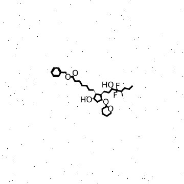 CCC[C@@H](C)C(F)(F)C(O)CC[C@@H]1[C@@H](CCCCCCC(=O)OCc2ccccc2)[C@@H](O)C[C@H]1OC1CCCCO1